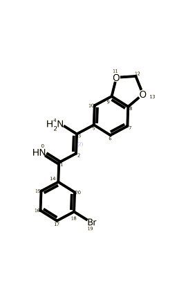 N=C(/C=C(\N)c1ccc2c(c1)OCO2)c1cccc(Br)c1